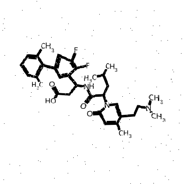 Cc1cc(=O)n(C(CC(C)C)C(=O)NC(CC(=O)O)c2cc(-c3c(C)cccc3C)cc(F)c2F)cc1CCN(C)C